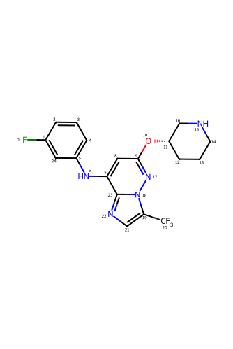 Fc1cccc(Nc2cc(O[C@H]3CCCNC3)nn3c(C(F)(F)F)cnc23)c1